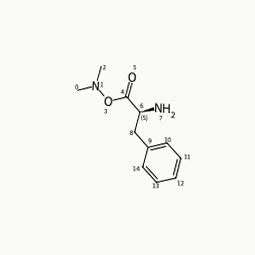 CN(C)OC(=O)[C@@H](N)Cc1ccccc1